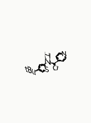 CC(C)(C)c1csc(NC(=O)c2ccncc2)c1